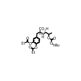 CCCCOC(=O)OC(C)CN[C@@H](Cc1ccc(OC(=O)CC)c(OC(=O)CC)c1)C(=O)O